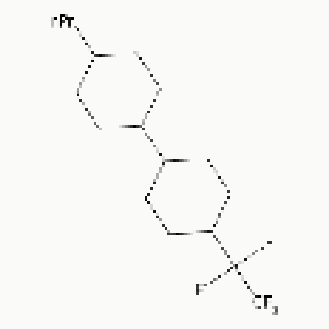 CCCC1CCC(C2CCC(C(F)(F)C(F)(F)F)CC2)CC1